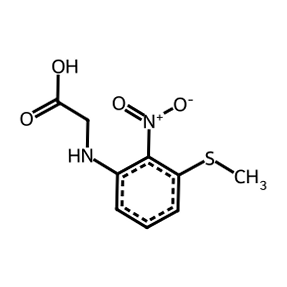 CSc1cccc(NCC(=O)O)c1[N+](=O)[O-]